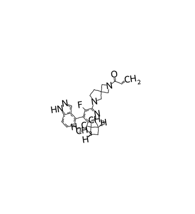 C=CC(=O)N1CC2(CCN(c3nc4c(c(-c5c(C)ccc6[nH]ncc56)c3F)C[C@H]3C[C@@H]4C3(C)C)C2)C1